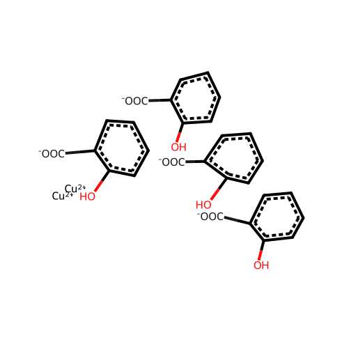 O=C([O-])c1ccccc1O.O=C([O-])c1ccccc1O.O=C([O-])c1ccccc1O.O=C([O-])c1ccccc1O.[Cu+2].[Cu+2]